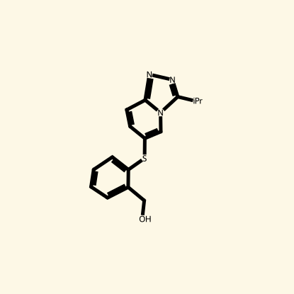 CC(C)c1nnc2ccc(Sc3ccccc3CO)cn12